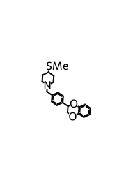 CSC1CCN(Cc2ccc(C3COc4ccccc4O3)cc2)CC1